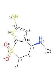 CCN[C@H]1CC(C)S(=O)(=O)c2sc(S)cc21